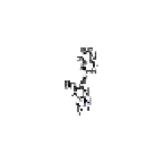 CN(C)/C=N\c1ccc(Br)c(C#Cc2ccc3ncccc3c2)n1